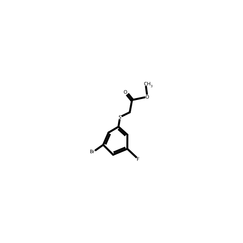 COC(=O)CSc1cc(F)cc(Br)c1